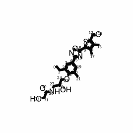 CCc1cc(-c2noc(-c3sc(C=O)c(C)c3C)n2)cc(C)c1OCC(O)CNC(=O)CO